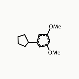 COc1cc(OC)cc(C2CCCC2)c1